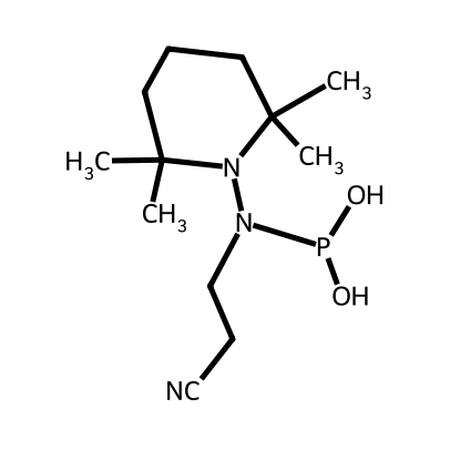 CC1(C)CCCC(C)(C)N1N(CCC#N)P(O)O